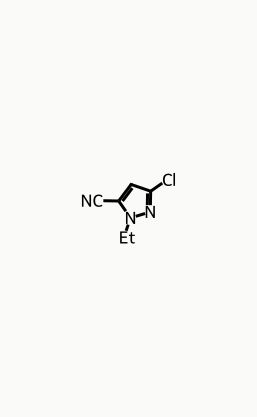 CCn1nc(Cl)cc1C#N